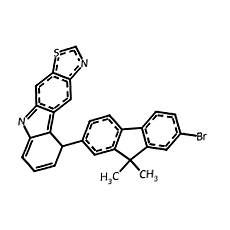 CC1(C)c2cc(Br)ccc2-c2ccc(C3C=CC=C4N=c5cc6scnc6cc5=C43)cc21